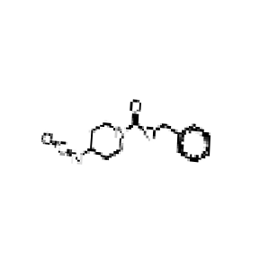 O=C=NC1CCN(C(=O)OCc2ccccc2)CC1